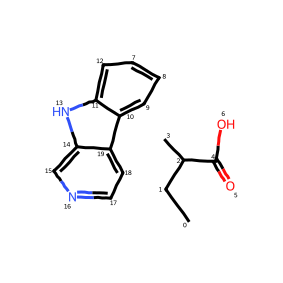 CCC(C)C(=O)O.c1ccc2c(c1)[nH]c1cnccc12